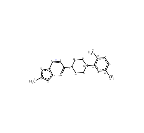 Cc1ccc(/C=C\C(=O)N2CCN(c3cc(C(F)(F)F)ccc3C)CC2)s1